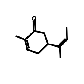 C/C=C(/C)[C@H]1CC=C(C)C(=O)C1